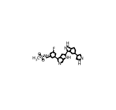 CS(=O)(=O)NCc1cc(F)cc(-c2cncc3[nH]c(-c4n[nH]c5ccc(-c6cn[nH]c6)cc45)cc23)c1